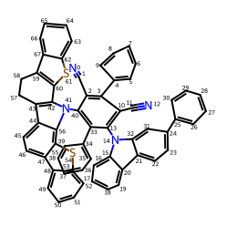 N#Cc1c(-c2ccccc2)c(C#N)c(-n2c3ccccc3c3ccc(-c4ccccc4)cc32)c(-c2ccccc2)c1-n1c2c(c3ccc4c5ccccc5sc4c31)CCc1c-2sc2ccccc12